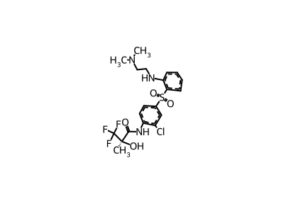 CN(C)CCNc1ccccc1S(=O)(=O)c1ccc(NC(=O)[C@@](C)(O)C(F)(F)F)c(Cl)c1